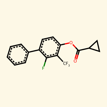 O=C(Oc1ccc(-c2ccccc2)c(F)c1C(F)(F)F)C1CC1